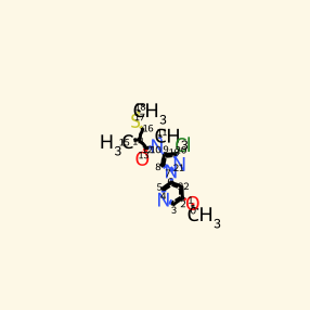 COc1cncc(-n2cc(N(C)C(=O)C(C)CSC)c(Cl)n2)c1